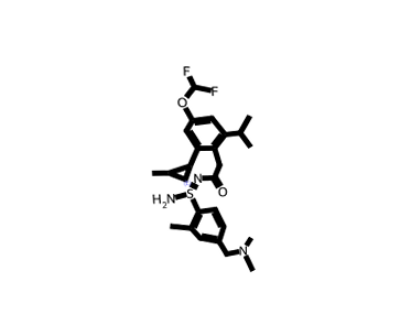 Cc1cc(CN(C)C)ccc1/S(N)=N\C(=O)Cc1c(C(C)C)cc(OC(F)F)cc1C1CC1C